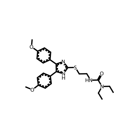 CCN(CC)C(=O)NCCSc1nc(-c2ccc(OC)cc2)c(-c2ccc(OC)cc2)[nH]1